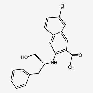 O=C(O)c1cc2cc(Cl)ccc2nc1N[C@H](CO)Cc1ccccc1